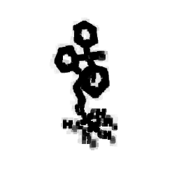 CC(C)(C)[Si](C)(C)OCCNc1ccccc1P(=S)(c1ccccc1)c1ccccc1